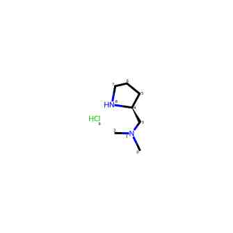 CN(C)C[C@@H]1CCCN1.Cl